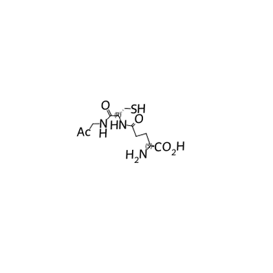 CC(=O)CNC(=O)[C@H](CS)NC(=O)CC[C@H](N)C(=O)O